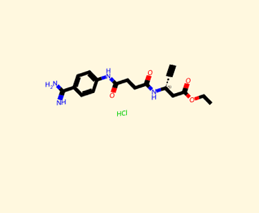 C#C[C@H](CC(=O)OCC)NC(=O)CCC(=O)Nc1ccc(C(=N)N)cc1.Cl